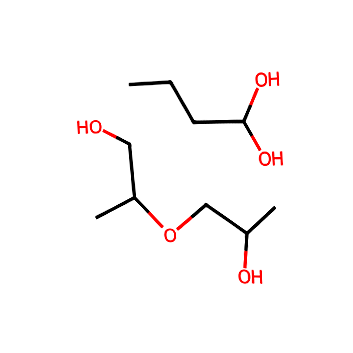 CC(O)COC(C)CO.CCCC(O)O